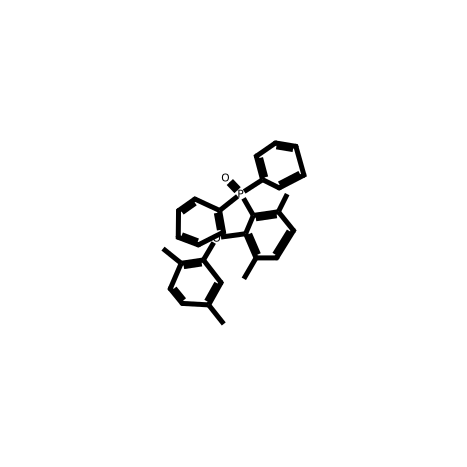 Cc1ccc(C)c(Oc2c(C)ccc(C)c2P(=O)(c2ccccc2)c2ccccc2)c1